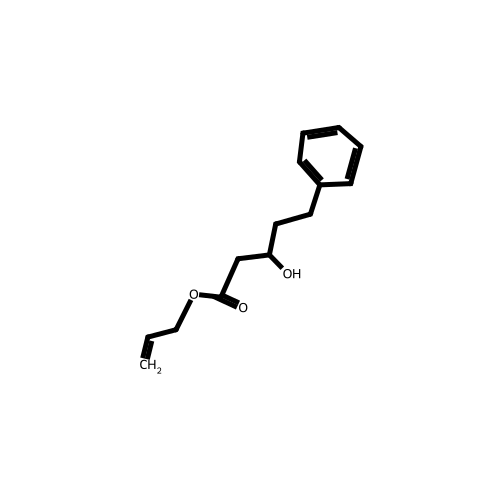 C=CCOC(=O)CC(O)CCc1ccccc1